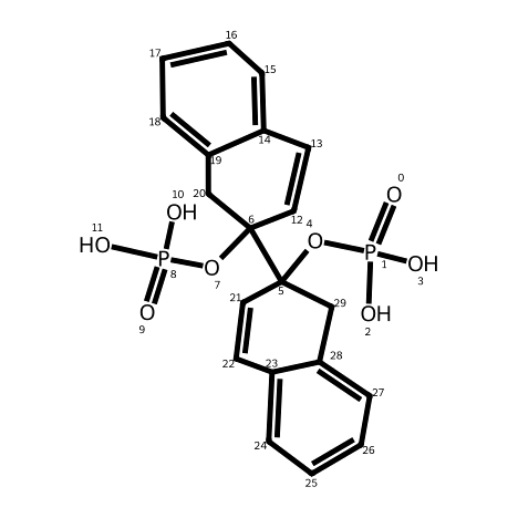 O=P(O)(O)OC1(C2(OP(=O)(O)O)C=Cc3ccccc3C2)C=Cc2ccccc2C1